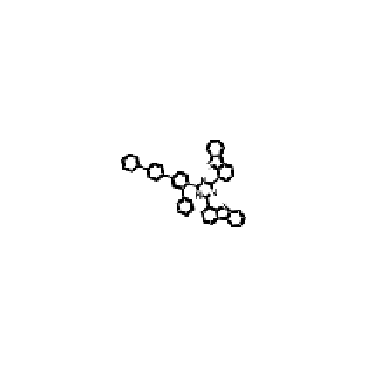 c1ccc(-c2ccc(-c3ccc(-c4nc(-c5cccc6c5sc5ccccc56)nc(-c5cccc6c5sc5ccccc56)n4)c(-c4ccccc4)c3)cc2)cc1